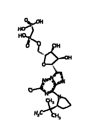 CC(C)(C)[C@@H]1CCCN1c1nc(Cl)nn2c([C@@H]3O[C@H](COP(=O)(O)CP(=O)(O)O)[C@@H](O)[C@H]3O)cnc12